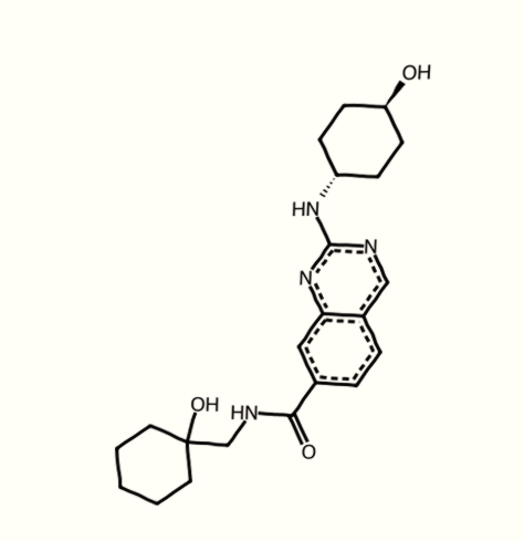 O=C(NCC1(O)CCCCC1)c1ccc2cnc(N[C@H]3CC[C@H](O)CC3)nc2c1